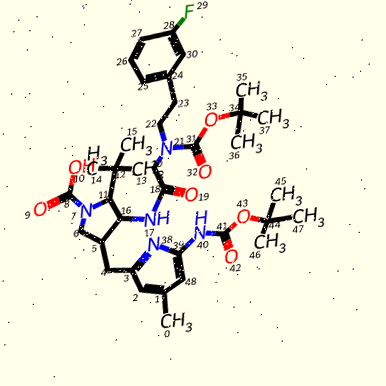 Cc1cc(CC2CN(C(=O)O)C(C(C)(C)C)C2NC(=O)CN(CCc2cccc(F)c2)C(=O)OC(C)(C)C)nc(NC(=O)OC(C)(C)C)c1